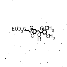 CCOC(=O)CCCN1C(=O)CC(C[C@@H](O)C2C[C@@H](C)CC(C)C2=O)CC1=O